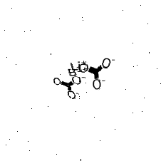 O=C([O-])[O-].O=C([O-])[O-].[B+3].[Li+]